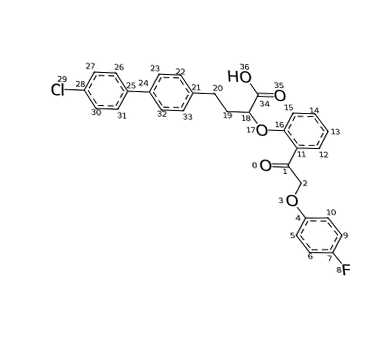 O=C(COc1ccc(F)cc1)c1ccccc1OC(CCc1ccc(-c2ccc(Cl)cc2)cc1)C(=O)O